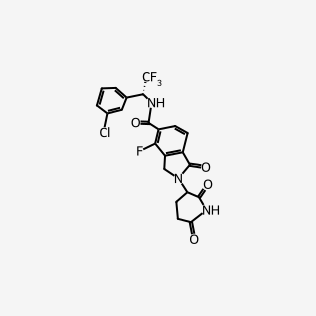 O=C1CCC(N2Cc3c(ccc(C(=O)N[C@H](c4cccc(Cl)c4)C(F)(F)F)c3F)C2=O)C(=O)N1